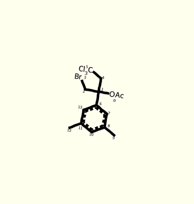 CC(=O)OC(CBr)(CC(Cl)(Cl)Cl)c1cc(C)cc(C)c1